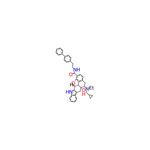 CCN(CC1CC1)[C@@H]1Cc2ccc(C(=O)NCCc3ccc(-c4ccccc4)cc3)c3c2C2[C@@H](O3)c3[nH]c4ccccc4c3C[C@]21O